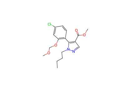 CCCCn1ncc(C(=O)OC)c1-c1ccc(Cl)cc1OCOC